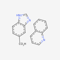 O=C(O)c1ccc2[nH]cnc2c1.c1ccc2ncccc2c1